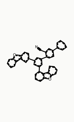 N#Cc1cc(-c2ccccc2)ccc1-c1cc(-c2ccc3oc4ccccc4c3c2)cc(-c2cccc3oc4ccccc4c23)c1